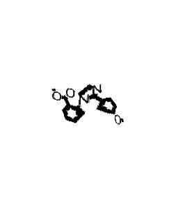 COC(=O)c1ccccc1-n1ccnc1-c1ccc(OC)cc1